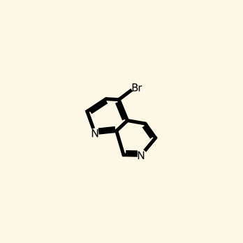 Brc1ccnc2cnccc12